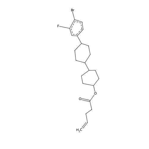 C=CCCC(=O)OC1CCC(C2CCC(c3ccc(Br)c(F)c3)CC2)CC1